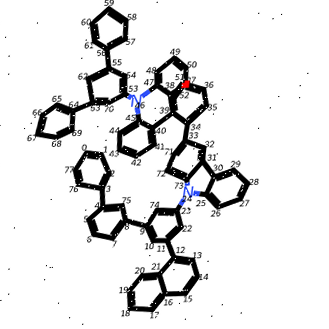 c1ccc(-c2cccc(-c3cc(-c4cccc5ccccc45)cc(-n4c5ccccc5c5cc(-c6ccccc6-c6ccccc6N(c6ccccc6)c6cc(-c7ccccc7)cc(-c7ccccc7)c6)ccc54)c3)c2)cc1